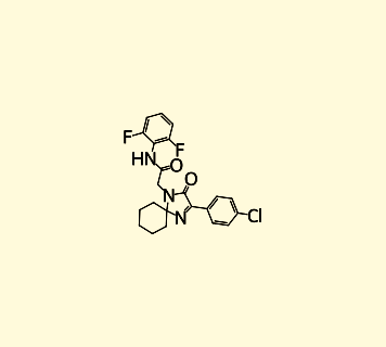 O=C(CN1C(=O)C(c2ccc(Cl)cc2)=NC12CCCCC2)Nc1c(F)cccc1F